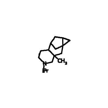 CC(C)N1CCC2C3CC4CC4(C3)CC2(C)C1